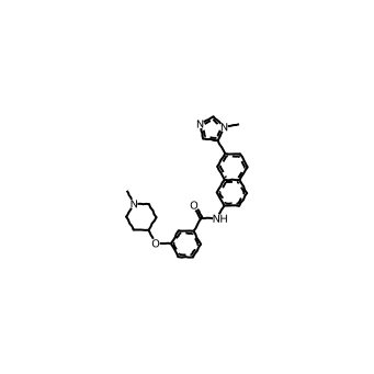 CN1CCC(Oc2cccc(C(=O)Nc3ccc4ccc(-c5cncn5C)cc4c3)c2)CC1